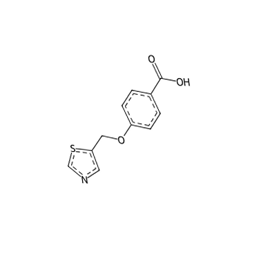 O=C(O)c1ccc(OCc2cncs2)cc1